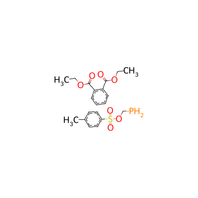 CCOC(=O)c1ccccc1C(=O)OCC.Cc1ccc(S(=O)(=O)OCP)cc1